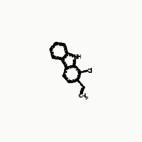 C=Cc1ccc2c([nH]c3ccccc32)c1Cl